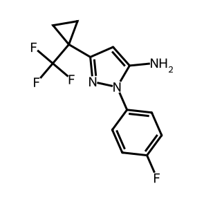 Nc1cc(C2(C(F)(F)F)CC2)nn1-c1ccc(F)cc1